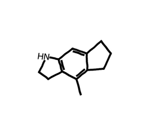 Cc1c2c(cc3c1CCN3)CCC2